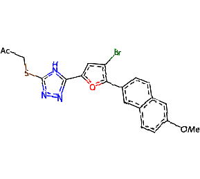 COc1ccc2cc(-c3oc(-c4nnc(SCC(C)=O)[nH]4)cc3Br)ccc2c1